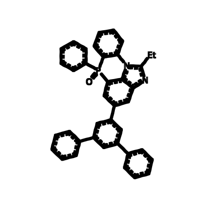 CCc1nc2cc(-c3cc(-c4ccccc4)cc(-c4ccccc4)c3)cc3c2n1-c1ccccc1P3(=O)c1ccccc1